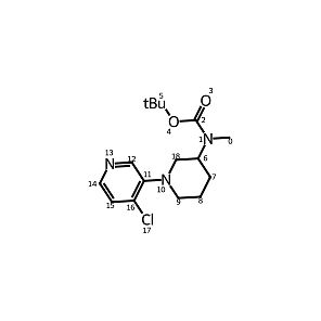 CN(C(=O)OC(C)(C)C)C1CCCN(c2cnccc2Cl)C1